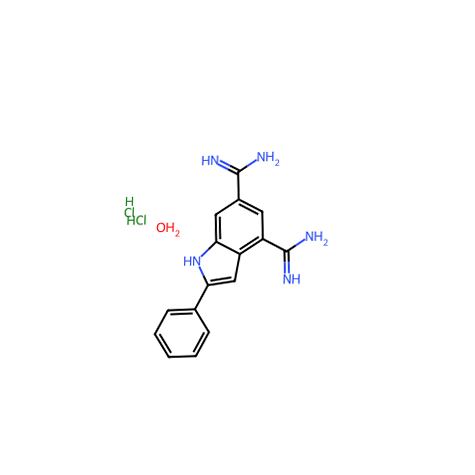 Cl.Cl.N=C(N)c1cc(C(=N)N)c2cc(-c3ccccc3)[nH]c2c1.O